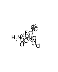 CC1(C)OB(c2cc(F)c3c(c2)C(=O)N(Cc2ccc(Cl)cn2)C3(OCC2(C(N)=O)CC2)c2ccc(Cl)cc2)OC1(C)C